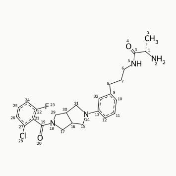 C[C@H](N)C(=O)NCCCc1cccc(N2CC3CN(C(=O)c4c(F)cccc4Cl)CC3C2)c1